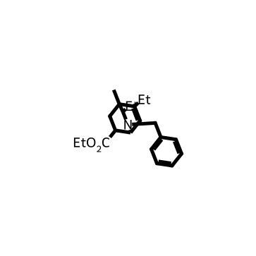 CCOC(=O)C1CC2(C)C(CC)=CC1N(Cc1ccccc1)C2CC